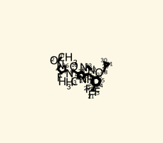 CC(=O)N1C[C@@H](F)[C@H](NC(=O)c2c(C)[nH]c3c(-c4cc(C(F)(F)F)ccc4OCC4CC4)ncnc23)C1